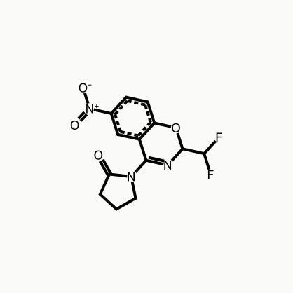 O=C1CCCN1C1=NC(C(F)F)Oc2ccc([N+](=O)[O-])cc21